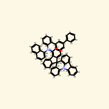 c1ccc(-c2cccc(-c3ccccc3N(c3cccc4c3-c3ccccc3C43c4ccccc4-n4c5ccccc5c5cccc3c54)c3cccc4ccccc34)c2)cc1